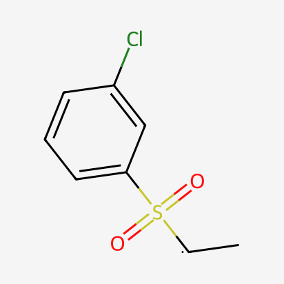 C[CH]S(=O)(=O)c1cccc(Cl)c1